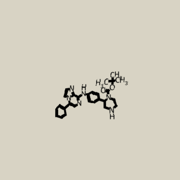 CC(C)(C)OC(=O)N1CCNCC1c1ccc(Nc2ncc(-c3ccccc3)n3ccnc23)cc1